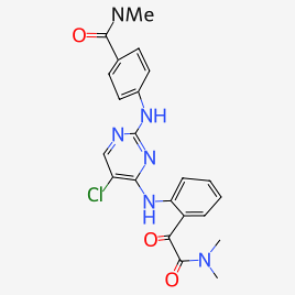 CNC(=O)c1ccc(Nc2ncc(Cl)c(Nc3ccccc3C(=O)C(=O)N(C)C)n2)cc1